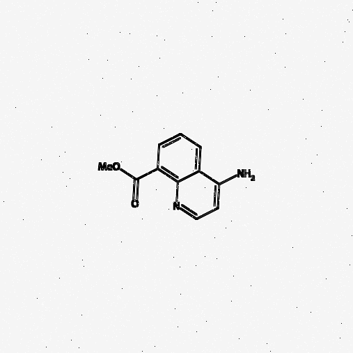 COC(=O)c1cccc2c(N)ccnc12